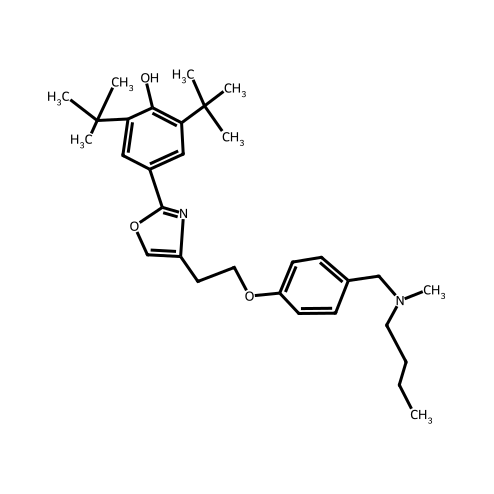 CCCCN(C)Cc1ccc(OCCc2coc(-c3cc(C(C)(C)C)c(O)c(C(C)(C)C)c3)n2)cc1